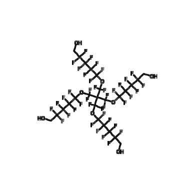 OCC(F)(F)C(F)(F)C(F)(F)C(F)(F)OC(F)(F)C(C(F)(F)OC(F)(F)C(F)(F)C(F)(F)C(F)(F)CO)(C(F)(F)OC(F)(F)C(F)(F)C(F)(F)C(F)(F)CO)C(F)(F)OC(F)(F)C(F)(F)C(F)(F)C(F)(F)CO